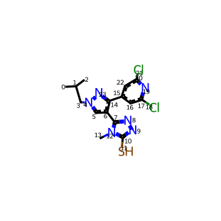 CC(C)Cn1cc(-c2nnc(S)n2C)c(-c2cc(Cl)nc(Cl)c2)n1